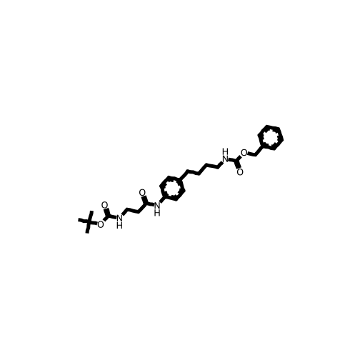 CC(C)(C)OC(=O)NCCC(=O)Nc1ccc(CCCCNC(=O)OCc2ccccc2)cc1